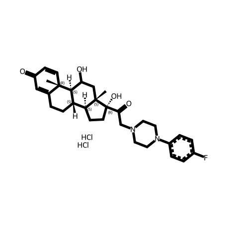 C[C@]12C=CC(=O)C=C1CC[C@@H]1[C@@H]2C(O)C[C@@]2(C)[C@H]1CC[C@]2(O)C(=O)CN1CCN(c2ccc(F)cc2)CC1.Cl.Cl